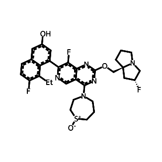 CCc1c(F)ccc2cc(O)cc(-c3ncc4c(N5CCC[S+]([O-])CC5)nc(OC[C@@]56CCCN5C[C@H](F)C6)nc4c3F)c12